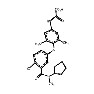 Cc1cc(NC(=O)C(=O)O)cc(C)c1Oc1ccc(O)c(C(=O)N(C)C2CCCC2)c1